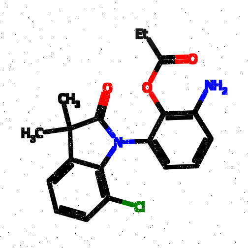 CCC(=O)Oc1c(N)cccc1N1C(=O)C(C)(C)c2cccc(Cl)c21